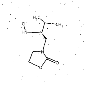 CC(C)[C@@H](CN1CCOC1=O)NCl